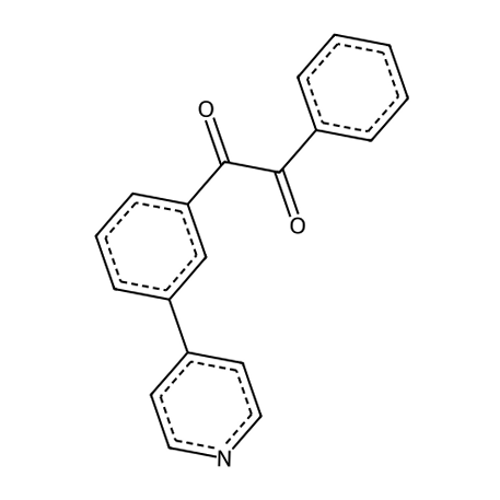 O=C(C(=O)c1cccc(-c2ccncc2)c1)c1ccccc1